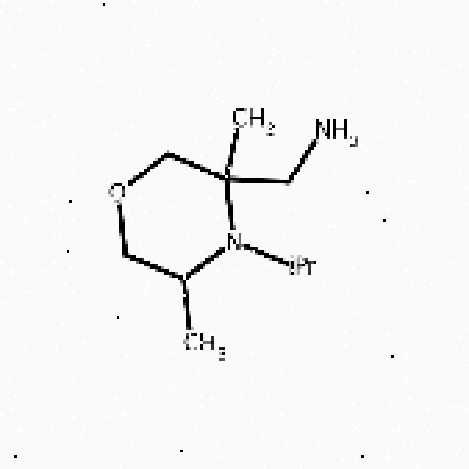 CC(C)N1C(C)COCC1(C)CN